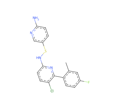 Cc1cc(F)ccc1-c1nc(NSc2ccc(N)nc2)ccc1Cl